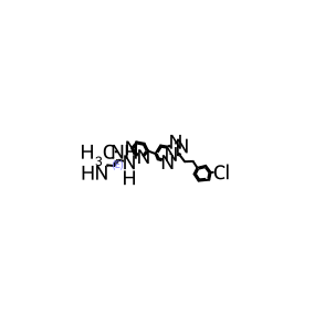 CN/C(=C\C=N)Nc1nccc(-c2cnn3c(CCc4cccc(Cl)c4)nnc3c2)n1